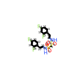 O=S(=O)(CS(=O)(=O)NC=Cc1ccc(F)cc1F)NC=Cc1ccc(F)cc1F